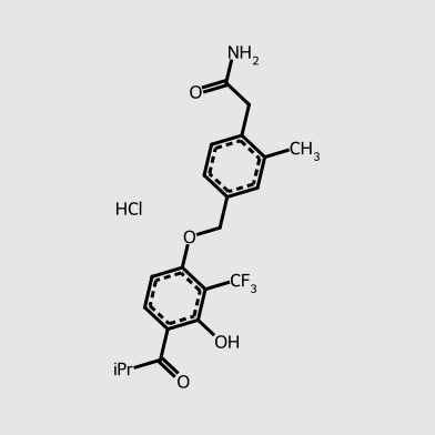 Cc1cc(COc2ccc(C(=O)C(C)C)c(O)c2C(F)(F)F)ccc1CC(N)=O.Cl